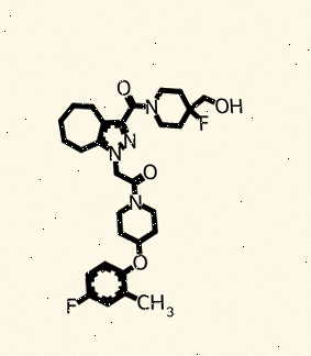 Cc1cc(F)ccc1OC1CCN(C(=O)Cn2nc(C(=O)N3CCC(F)(CO)CC3)c3c2CCCCC3)CC1